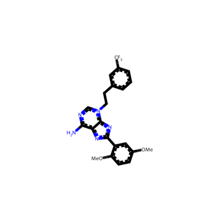 COc1ccc(OC)c(-c2nc3c(N)ncn(CCc4cccc(C(F)(F)F)c4)c-3n2)c1